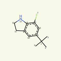 CC(C)(C)c1cc(F)c2c(c1)CCN2